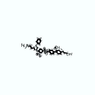 COc1cc(CCCO)ccc1-c1ccc(C(=O)NS(=O)(=O)c2ccc(N[C@H](CCCCN)CSc3ccccc3)c([N+](=O)[O-])c2)cc1